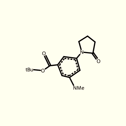 CNc1cc(C(=O)OC(C)(C)C)cc(N2CCCC2=O)c1